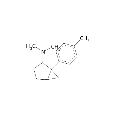 Cc1ccc(C23CC2CCC3N(C)C)cc1